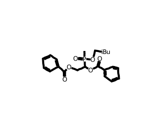 CCC(C)COP(C)(=O)C(COC(=O)c1ccccc1)OC(=O)c1ccccc1